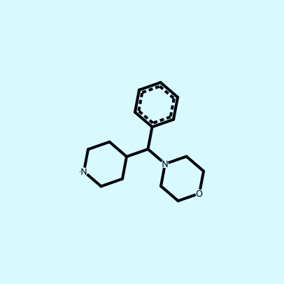 c1ccc(C(C2CC[N]CC2)N2CCOCC2)cc1